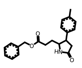 Cc1ccc(C2CC(=O)NC2CCC(=O)OCc2ccccc2)cc1